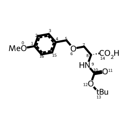 COc1ccc(COC[C@@H](NC(=O)OC(C)(C)C)C(=O)O)cc1